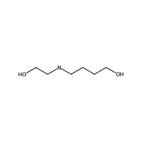 OCCCC[N]CCO